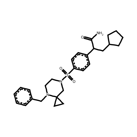 NC(=O)C(CC1CCCC1)c1ccc(S(=O)(=O)N2CCN(Cc3ccccc3)C3(CC3)C2)cc1